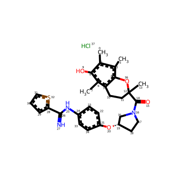 Cc1c(C)c2c(c(C)c1O)CCC(C)(C(=O)N1CC[C@H](Oc3ccc(NC(=N)c4cccs4)cc3)C1)O2.Cl